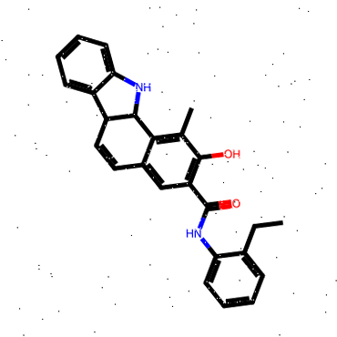 CCc1ccccc1NC(=O)c1cc2c(c(C)c1O)C1Nc3ccccc3C1C=C2